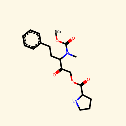 CN(C(=O)OC(C)(C)C)C(CCc1ccccc1)C(=O)COC(=O)C1CCCN1